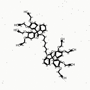 C#CCOC1=CC(C2(c3ccc(OCC#C)c(OCC#C)c3)C(=O)N(CCCCCCN3C(=O)C(c4ccc(OCC#C)c(OCC#C)c4)(c4ccc(OCC#C)c(OCC#C)c4)c4ccccc43)c3ccccc32)=CCC1OCC#C